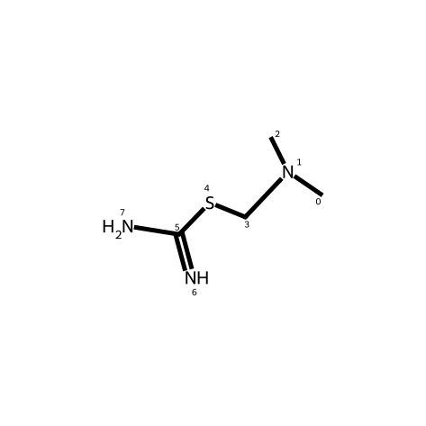 CN(C)CSC(=N)N